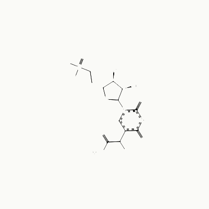 C=P(C)(C)CC[C@H]1OC(n2cc(C(O)C(=O)OC)c(=O)[nH]c2=O)[C@H](O)[C@@H]1O